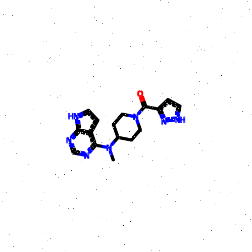 CN(c1ncnc2[nH]ccc12)C1CCN(C(=O)c2cc[nH]n2)CC1